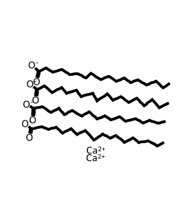 CCCCCCCCCCCCCCCCCC(=O)[O-].CCCCCCCCCCCCCCCCCC(=O)[O-].CCCCCCCCCCCCCCCCCC(=O)[O-].CCCCCCCCCCCCCCCCCC(=O)[O-].[Ca+2].[Ca+2]